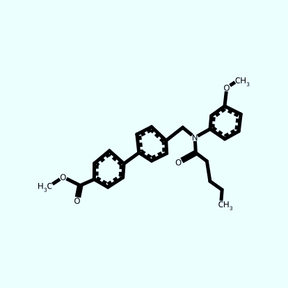 CCCCC(=O)N(Cc1ccc(-c2ccc(C(=O)OC)cc2)cc1)c1cccc(OC)c1